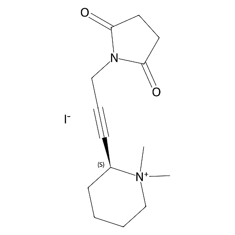 C[N+]1(C)CCCC[C@H]1C#CCN1C(=O)CCC1=O.[I-]